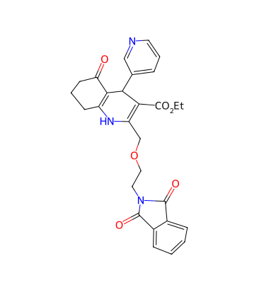 CCOC(=O)C1=C(COCCN2C(=O)c3ccccc3C2=O)NC2=C(C(=O)CCC2)C1c1cccnc1